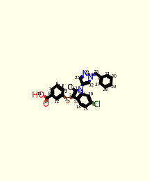 Cc1c(Sc2cccc(C(=O)O)c2)c2ccc(Cl)cc2n1-c1cnn(Cc2ccccc2)c1